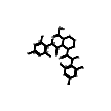 COC(=O)C1CCCC(C(=O)C(C)c2c(C)cc(C)cc2C)C1C(=O)C(C)c1c(C)cc(C)cc1C